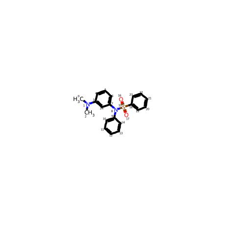 CN(C)c1cccc(N(c2ccccc2)S(=O)(=O)c2ccccc2)c1